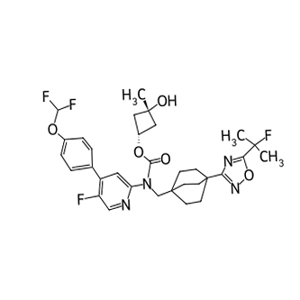 CC(C)(F)c1nc(C23CCC(CN(C(=O)O[C@H]4C[C@@](C)(O)C4)c4cc(-c5ccc(OC(F)F)cc5)c(F)cn4)(CC2)CC3)no1